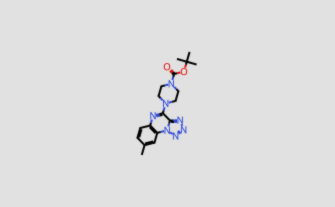 Cc1ccc2nc(N3CCN(C(=O)OC(C)(C)C)CC3)c3nnnn3c2c1